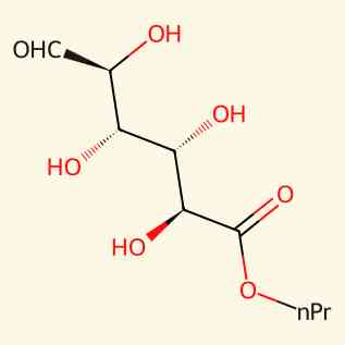 CCCOC(=O)[C@@H](O)[C@@H](O)[C@H](O)[C@H](O)C=O